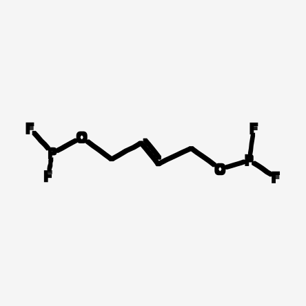 FP(F)OC/C=C/COP(F)F